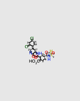 C[SH](C)(=O)NC(=O)c1ccc(C(=O)O)c(C(=O)Nc2cc(-c3ccc(Cl)cc3Cl)cnc2O)c1